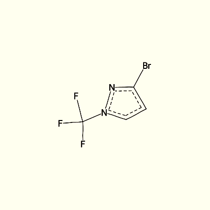 FC(F)(F)n1ccc(Br)n1